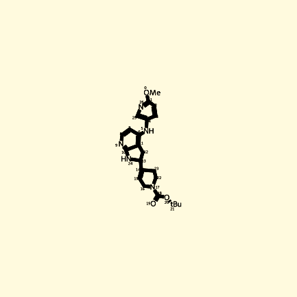 COc1ccc(Nc2ccnc3c2CC(C2=CCN(C(=O)OC(C)(C)C)CC2)N3)cn1